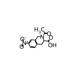 CC(=O)N1Cc2cc([N+](=O)[O-])ccc2CC1C(=O)O